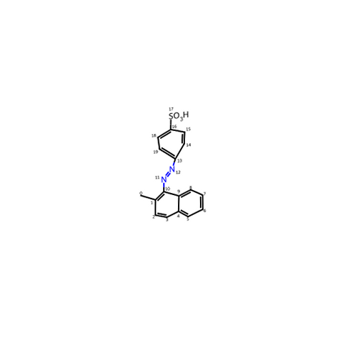 Cc1ccc2ccccc2c1N=Nc1ccc(S(=O)(=O)O)cc1